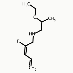 C=C/C=C(/F)CNCC(C)OCC